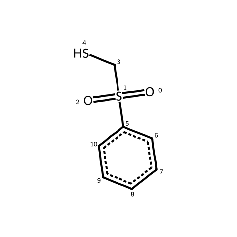 O=S(=O)(CS)c1ccccc1